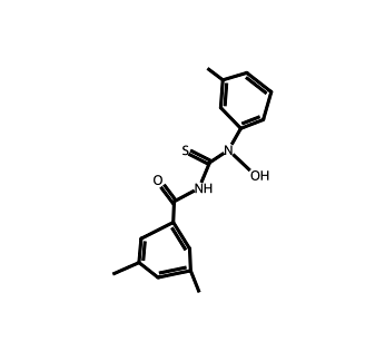 Cc1cc(C)cc(C(=O)NC(=S)N(O)c2cccc(C)c2)c1